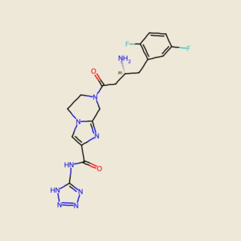 N[C@@H](CC(=O)N1CCn2cc(C(=O)Nc3nnn[nH]3)nc2C1)Cc1cc(F)ccc1F